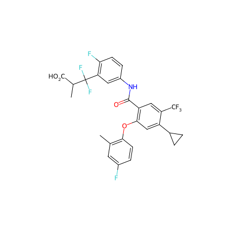 Cc1cc(F)ccc1Oc1cc(C2CC2)c(C(F)(F)F)cc1C(=O)Nc1ccc(F)c(C(F)(F)C(C)C(=O)O)c1